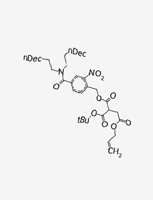 C=CCOC(=O)CC(C(=O)OCc1ccc(C(=O)N(CCCCCCCCCCCC)CCCCCCCCCCCC)cc1[N+](=O)[O-])C(=O)OC(C)(C)C